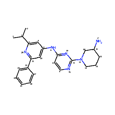 CC(C)c1cc(Nc2ccnc(N3CCCC(N)C3)n2)cc(-c2ccccc2)n1